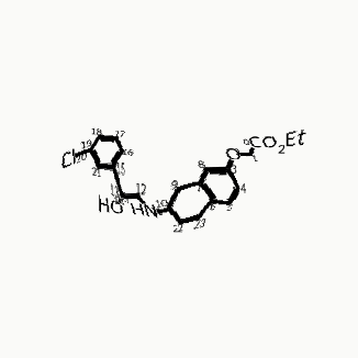 CCOC(=O)COc1ccc2c(c1)CC(NC[C@H](O)c1cccc(Cl)c1)CC2